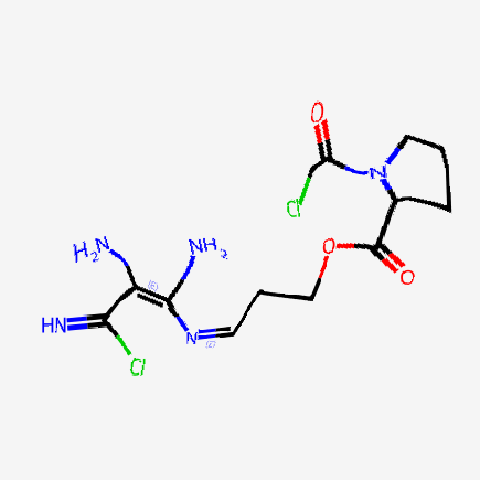 N=C(Cl)/C(N)=C(N)\N=C/CCOC(=O)C1CCCN1C(=O)Cl